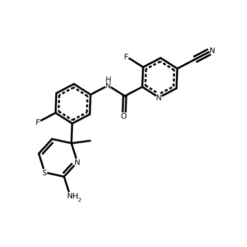 CC1(c2cc(NC(=O)c3ncc(C#N)cc3F)ccc2F)C=CSC(N)=N1